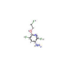 Nc1cc(F)c(OCCF)nc1F